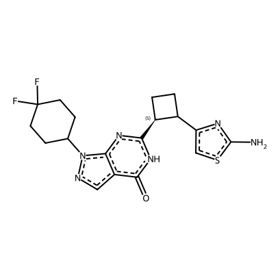 Nc1nc(C2CC[C@@H]2c2nc3c(cnn3C3CCC(F)(F)CC3)c(=O)[nH]2)cs1